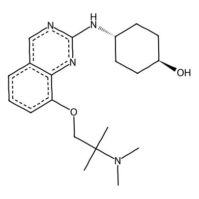 CN(C)C(C)(C)COc1cccc2cnc(N[C@H]3CC[C@H](O)CC3)nc12